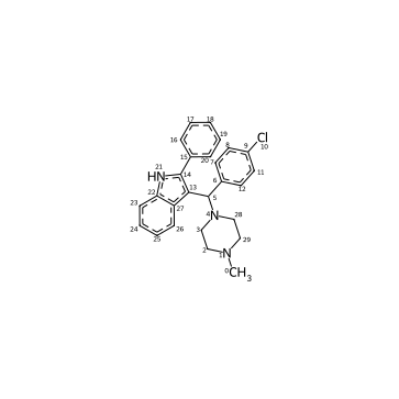 CN1CCN(C(c2ccc(Cl)cc2)c2c(-c3ccccc3)[nH]c3ccccc23)CC1